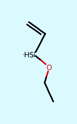 C=C[SiH]OCC